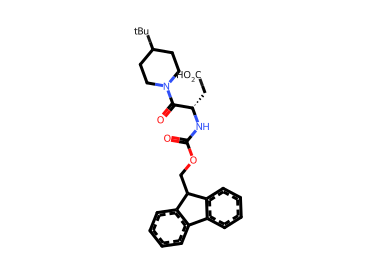 CC(C)(C)C1CCN(C(=O)[C@H](CC(=O)O)NC(=O)OCC2c3ccccc3-c3ccccc32)CC1